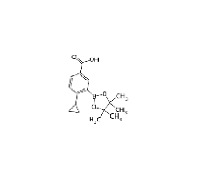 CC1(C)OB(c2cc(C(=O)O)ccc2C2CC2)OC1(C)C